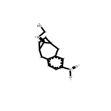 O=[N+]([O-])c1ccc2c(c1)CC1CCC(C2)/C1=N/CO